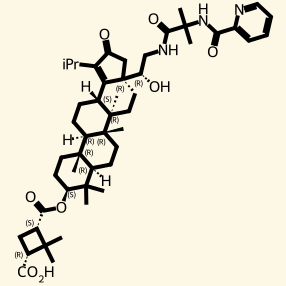 CC(C)C1=C2[C@H]3CC[C@@H]4[C@@]5(C)CC[C@H](OC(=O)[C@H]6C[C@@H](C(=O)O)C6(C)C)C(C)(C)[C@@H]5CC[C@@]4(C)[C@]3(C)CC[C@@]2([C@@H](O)CNC(=O)C(C)(C)NC(=O)c2ccccn2)CC1=O